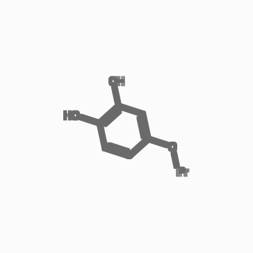 CC(C)Oc1ccc(O)c(O)c1